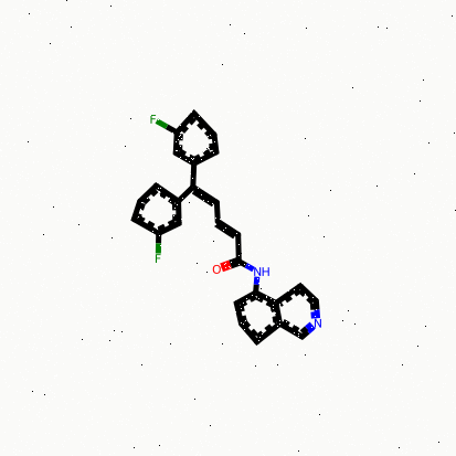 O=C(C=CC=C(c1cccc(F)c1)c1cccc(F)c1)Nc1cccc2cnccc12